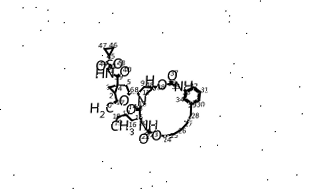 C=CC1C[C@]1(CC(=O)[C@@H]1C[C@@H]2CN1C(=O)[C@H](CCCC)NC(=O)OCCCCCc1cccc(c1)NC(=O)O2)C(=O)NS(=O)(=O)C1CC1